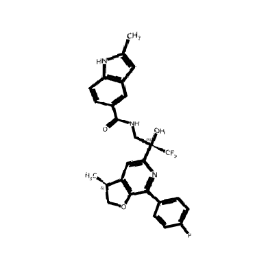 Cc1cc2cc(C(=O)NC[C@](O)(c3cc4c(c(-c5ccc(F)cc5)n3)OC[C@H]4C)C(F)(F)F)ccc2[nH]1